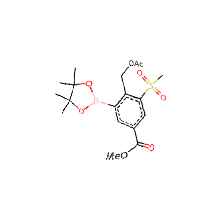 COC(=O)c1cc(B2OC(C)(C)C(C)(C)O2)c(COC(C)=O)c(S(C)(=O)=O)c1